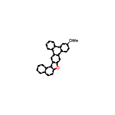 COc1ccc2c(c1)c1ccccc1c1cc3c(cc21)oc1ccc2ccccc2c13